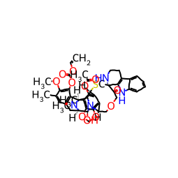 C=COC(=O)Oc1c(OC)c(C)cc2c1[C@H]1C3[C@@H]4SC[C@]5(NCCc6c5[nH]c5ccccc65)C(=O)COC[C@@H](c5c6c(c(C)c(OC(C)=O)c54)OCO6)N3[C@@H](O)[C@@H](C2)N1C